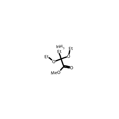 CCOC(CC)(OCC)C(=O)OC.[InH3]